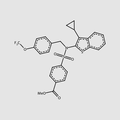 COC(=O)c1ccc(S(=O)(=O)N(Cc2ccc(OC(F)(F)F)cc2)c2sc3ccccc3c2C2CC2)cc1